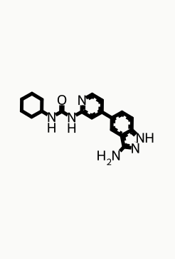 Nc1n[nH]c2ccc(-c3ccnc(NC(=O)NC4CCCCC4)c3)cc12